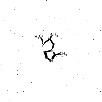 COC(C)Cn1ccnc1C